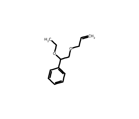 [CH2]COC(COCC=C)c1ccccc1